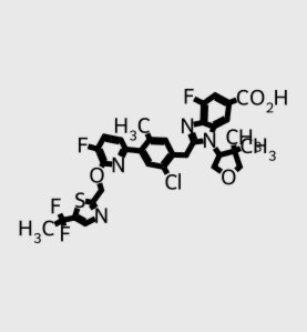 Cc1cc(Cc2nc3c(F)cc(C(=O)O)cc3n2C2COCC2(C)C)c(Cl)cc1-c1ccc(F)c(OCc2ncc(C(C)(F)F)s2)n1